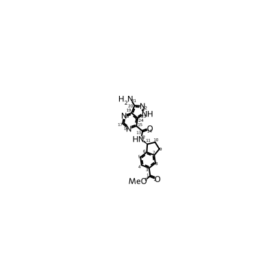 COC(=O)c1ccc2c(c1)CC[C@@H]2NC(=O)c1ncnc2c(N)n[nH]c12